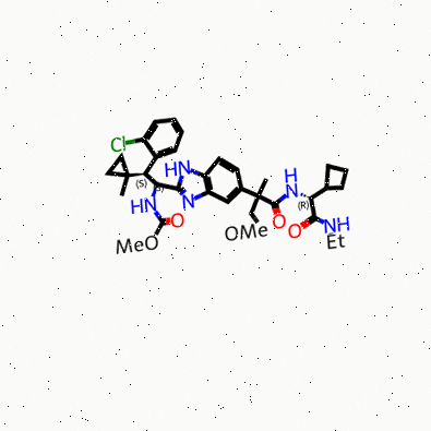 CCNC(=O)[C@H](NC(=O)C(C)(COC)c1ccc2[nH]c([C@@H](NC(=O)OC)[C@H](c3ccccc3Cl)C3(C)CC3)nc2c1)C1CCC1